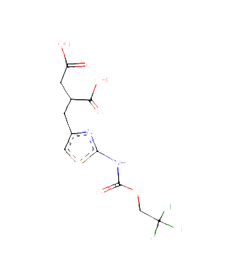 O=C(O)CC(Cc1csc(NC(=O)OCC(Cl)(Cl)Cl)n1)C(=O)O